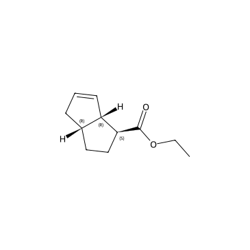 CCOC(=O)[C@H]1CC[C@@H]2CC=C[C@@H]21